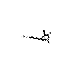 CCCCCCCCCC=CCCCCCC1(C)NC(CO)C(O)CO1